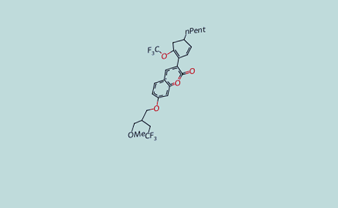 CCCCCC1C=CC(c2cc3ccc(OCC(COC)CC(F)(F)F)cc3oc2=O)=C(OC(F)(F)F)C1